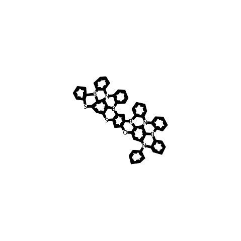 c1ccc(N2c3ccccc3B3c4ccccc4N4c5ccccc5B5c6cc7c(cc6Oc6cc2c3c4c65)Sc2cc3c4c5c2B7c2ccccc2N5c2ccccc2B4c2ccccc2S3)cc1